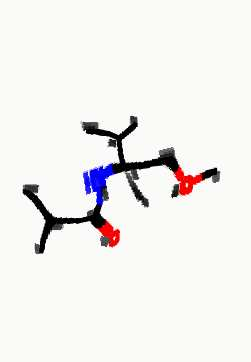 COC[C@@](C)(NC(=O)C(C)C)C(C)C